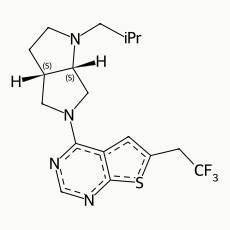 CC(C)CN1CC[C@H]2CN(c3ncnc4sc(CC(F)(F)F)cc34)C[C@H]21